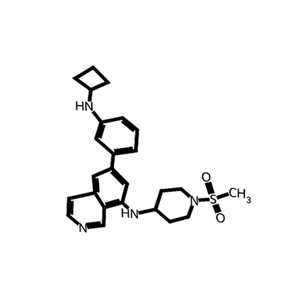 CS(=O)(=O)N1CCC(Nc2cc(-c3cccc(NC4CCC4)c3)cc3ccncc23)CC1